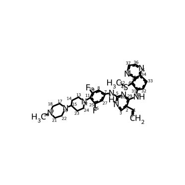 C=Cc1cnc(Nc2cc(F)c(N3CCC(N4CCN(C)CC4)CC3)c(F)c2)nc1Nc1ccc2nccnc2c1SC